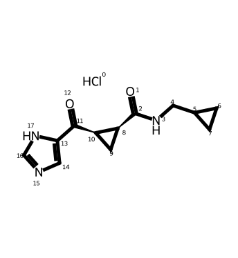 Cl.O=C(NCC1CC1)[C@H]1C[C@H]1C(=O)c1cnc[nH]1